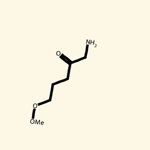 COOCCCC(=O)CN